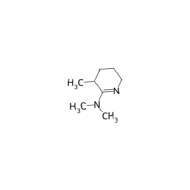 CC1CCCN=C1N(C)C